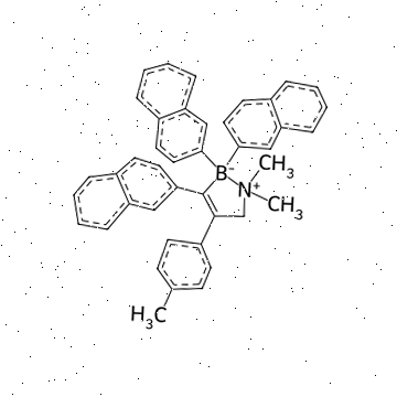 Cc1ccc(C2=C(c3ccc4ccccc4c3)[B-](c3ccc4ccccc4c3)(c3ccc4ccccc4c3)[N+](C)(C)C2)cc1